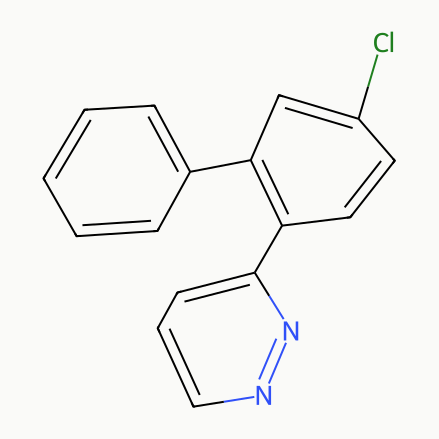 Clc1ccc(-c2cccnn2)c(-c2ccccc2)c1